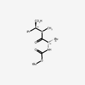 CC[C@@H](C)[C@H](NC(=O)OC(C)(C)C)C(=O)N(C)[C@H](C(=O)O)C(C)C